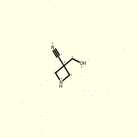 N#CC1(CO)CNC1